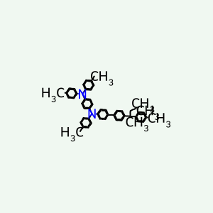 Cc1ccc(N(c2ccc(C)cc2)c2ccc(N(c3ccc(C)cc3)c3ccc(-c4ccc(C(C)(CC(C)C)c5ccc(C)cc5)cc4)cc3)cc2)cc1